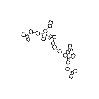 c1cc(-c2ccc(N(c3ccc(-c4ccc(-c5ccc6ccc(-c7cccc8c7oc7c(-c9ccccc9N(c9ccc(-c%10cccc(-n%11c%12ccccc%12c%12ccccc%12%11)c%10)cc9)c9ccc(-c%10ccc%11ccccc%11c%10)cc9)cccc78)cc6c5)cc4)cc3)c3ccccc3-c3cccc4c3oc3ccccc34)cc2)cc(-n2c3ccccc3c3ccccc32)c1